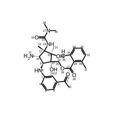 CC(=O)c1cccc(N[C@H]2[C@H](N)[C@](C)(NC(=O)N(C)C)[C@@](C)(O)[C@@]2(O)COC(=O)c2c(C)cccc2O)c1